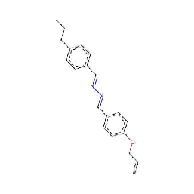 C=CCOc1ccc(/C=N/N=C/c2ccc(CCC)cc2)cc1